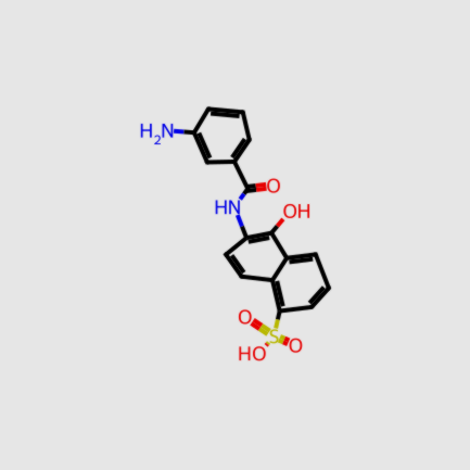 Nc1cccc(C(=O)Nc2ccc3c(S(=O)(=O)O)cccc3c2O)c1